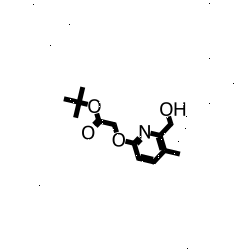 Cc1ccc(OCC(=O)OC(C)(C)C)nc1CO